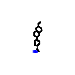 C=CC1CCC2=C(CCC(c3ccc([C@@H]4CN4)cc3)C2)C1